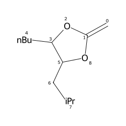 C=C1OC(CCCC)C(CC(C)C)O1